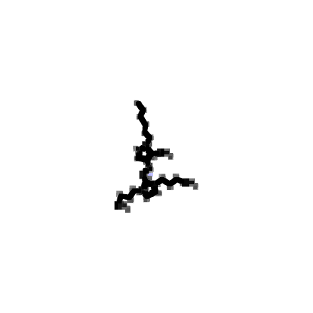 CCCCCCn1ncc(/N=N/c2n(CCCN)cc[n+]2CCCN)c1N